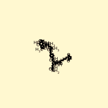 CC(=O)OCC1(C)C=C2C(=O)[C@](C)(O)C3(CC3)C(C)=C2C1OC(=O)N(C)CCN(C)C(=O)OCc1ccc(NC(=O)[C@H](CCCNC(N)=O)NC(=O)[C@@H](NC(=O)CCCCCN2C(=O)C=CC2=O)C(C)C)cc1